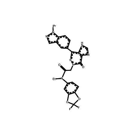 CCN(C(=O)Cn1nc(-c2ccc3c(cnn3C(C)C)c2)c2[nH]cnc2c1=O)c1ccc2c(c1)OC(F)(F)O2